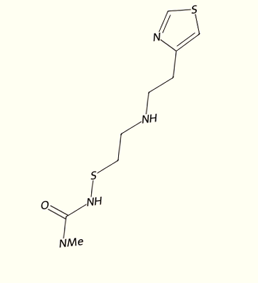 CNC(=O)NSCCNCCc1cscn1